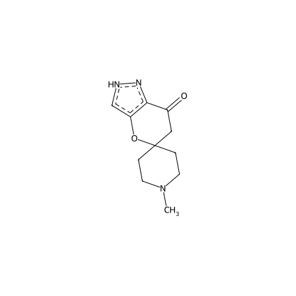 CN1CCC2(CC1)CC(=O)c1n[nH]cc1O2